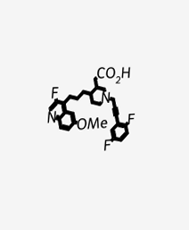 COc1ccc2ncc(F)c(CCCC3CCN(CC#Cc4cc(F)ccc4F)CC3CC(=O)O)c2c1